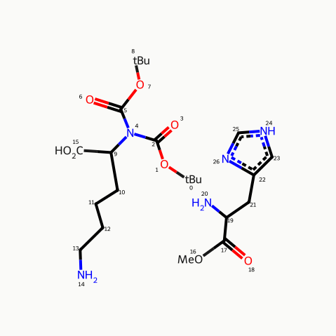 CC(C)(C)OC(=O)N(C(=O)OC(C)(C)C)C(CCCCN)C(=O)O.COC(=O)C(N)Cc1c[nH]cn1